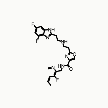 C=N/C(CNC(=O)c1coc(CCNCCc2nc3c(F)cc(F)cc3[nH]2)n1)=C(F)\C=C/C